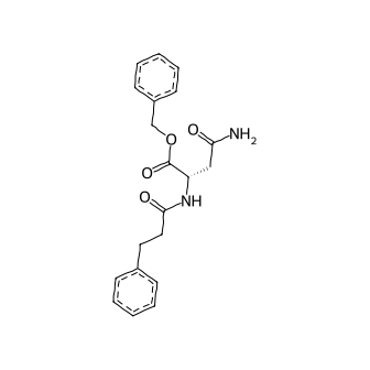 NC(=O)C[C@H](NC(=O)CCc1ccccc1)C(=O)OCc1ccccc1